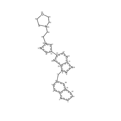 c1cnc2ccc(Cn3nnc4ncc(-c5cnn(CCN6CCOCC6)c5)nc43)cc2c1